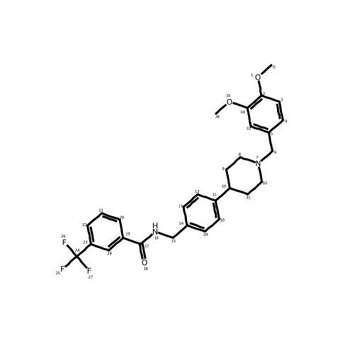 COc1ccc(CN2CCC(c3ccc(CNC(=O)c4cccc(C(F)(F)F)c4)cc3)CC2)cc1OC